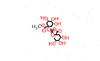 COC(=O)[C@]1(OB2OC(=O)[C@]3(C[C@@H](O)[C@H](O)[C@H](O)C3)O2)C[C@@H](O)[C@@H](O)[C@H](O)C1